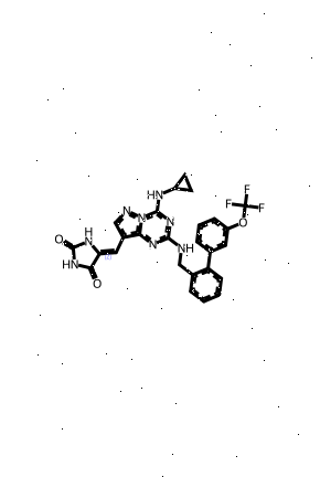 O=C1NC(=O)/C(=C/c2cnn3c(NC4CC4)nc(NCc4ccccc4-c4cccc(OC(F)(F)F)c4)nc23)N1